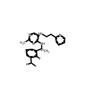 Cc1ncc(NCCc2ccccn2)c(N[C@H](C)c2cccc(C(F)F)c2F)n1